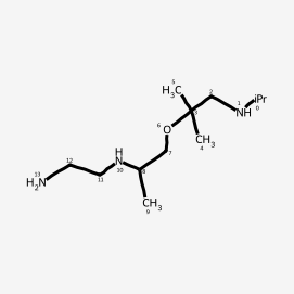 CC(C)NCC(C)(C)OCC(C)NCCN